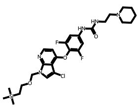 C[Si](C)(C)CCOCn1cc(Cl)c2c(Oc3c(F)cc(NC(=O)NCCN4CCCCC4)cc3F)ccnc21